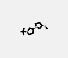 CO[C@H]1CCN([C@@H]2CCN(C(C)(C)C)C2)C1